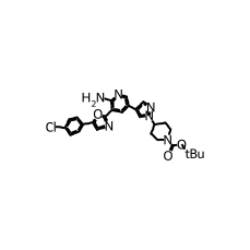 CC(C)(C)OC(=O)N1CCC(n2cc(-c3cnc(N)c(-c4ncc(-c5ccc(Cl)cc5)o4)c3)cn2)CC1